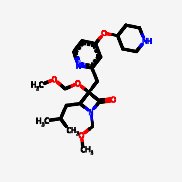 COCOC1(Cc2cc(OC3CCNCC3)ccn2)C(=O)N(COC)C1CC(C)C